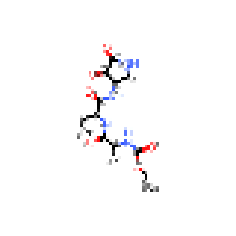 CC(C)CC(NC(=O)C(NC(=O)OCC(C)(C)C)C(C)C)C(=O)NC1CNC(=O)C1=O